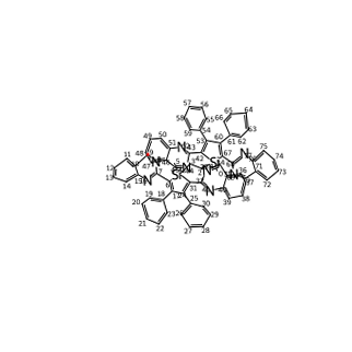 C[Si]1(CC[Si]2(C)C(c3ncc4ccccc4n3)=C(c3ccccc3)C(c3ccccc3)=C2c2ncc3ccccc3n2)C(c2ncc3ccccc3n2)=C(c2ccccc2)C(c2ccccc2)=C1c1ncc2ccccc2n1